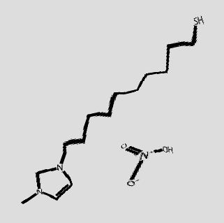 CN1C=CN(CCCCCCCCCCS)C1.O=[N+]([O-])O